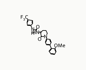 COc1ccccc1-c1ccc(N2CCC[C@@H](NC(=O)Nc3ccc(C(F)(F)F)cc3)C2=O)cc1